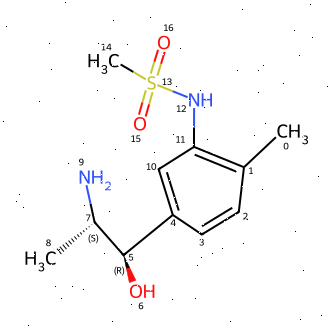 Cc1ccc([C@@H](O)[C@H](C)N)cc1NS(C)(=O)=O